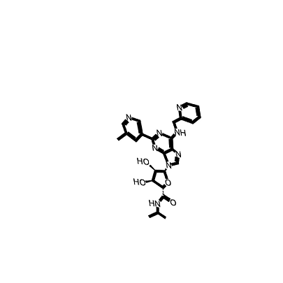 Cc1cncc(-c2nc(NCc3ccccn3)c3ncn([C@@H]4O[C@H](C(=O)NC(C)C)[C@@H](O)[C@H]4O)c3n2)c1